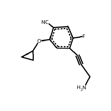 N#Cc1cc(F)c(C#CCN)cc1OC1CC1